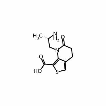 C[C@H](N)CN1C(=O)CCc2csc(C(=O)O)c21